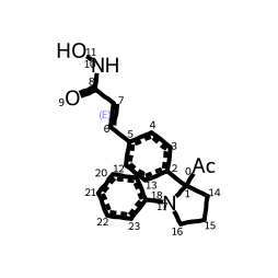 CC(=O)C1(c2ccc(/C=C/C(=O)NO)cc2)CCCN1c1ccccc1